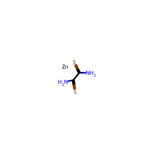 NC(=S)C(N)=S.[Zn]